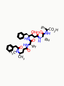 CC[C@H](C)[C@H](NC(=O)C[C@H](O)[C@H](Cc1ccccc1)NC(=O)[C@@H](NC(=O)CC[C@H](C)N(C)C(=O)Cc1ccccc1)C(C)C)C(=O)N[C@H](C(=O)O)C(C)C